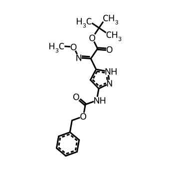 CON=C(C(=O)OC(C)(C)C)c1cc(NC(=O)OCc2ccccc2)n[nH]1